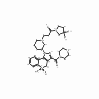 O=C(CCN1CCC[C@H](n2nc(C(=O)N3CCOCC3)c3c2-c2ccccc2S(=O)(=O)C3)C1)N1CCC(F)(F)C1